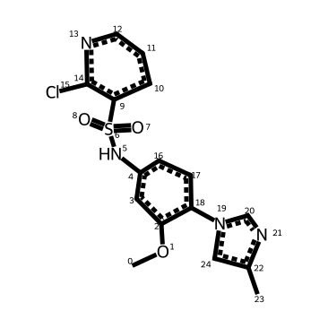 COc1cc(NS(=O)(=O)c2cccnc2Cl)ccc1-n1cnc(C)c1